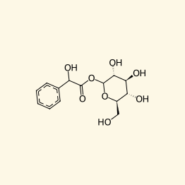 O=C(OC1O[C@H](CO)[C@@H](O)[C@H](O)[C@H]1O)C(O)c1ccccc1